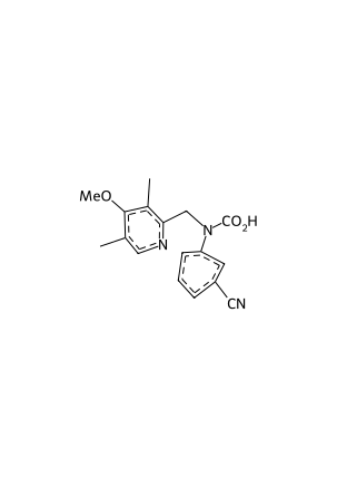 COc1c(C)cnc(CN(C(=O)O)c2cccc(C#N)c2)c1C